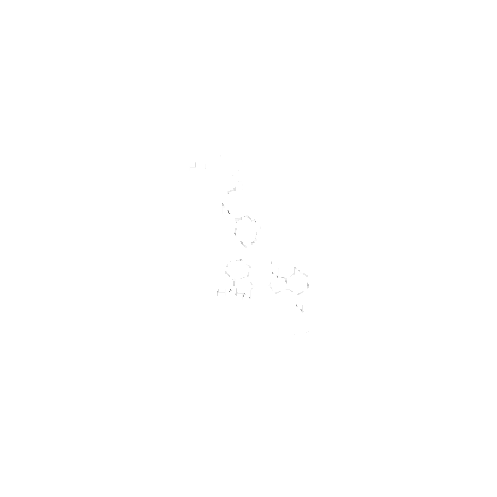 CC(C)(C)CC(=O)Nc1cncc(-c2ccc3[nH]nc(-c4cc5c(N6CCCCC6)ccnc5[nH]4)c3c2)c1